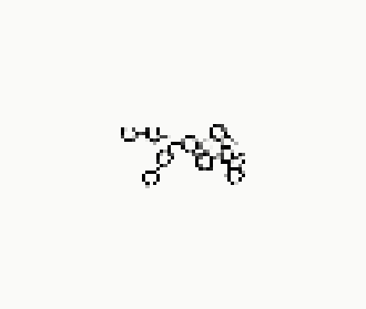 C1=CCC(c2ccc(C[C@H](C3=CC4c5cccc(N6c7c(sc8c7=CCCC=8)C7Sc8ccccc8C76)c5OC4C=C3)c3ccc(-c4ccccc4)cc3)cc2)C=C1